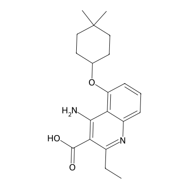 CCc1nc2cccc(OC3CCC(C)(C)CC3)c2c(N)c1C(=O)O